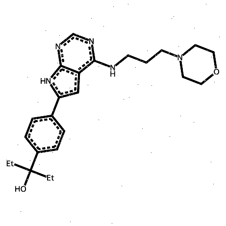 CCC(O)(CC)c1ccc(-c2cc3c(NCCCN4CCOCC4)ncnc3[nH]2)cc1